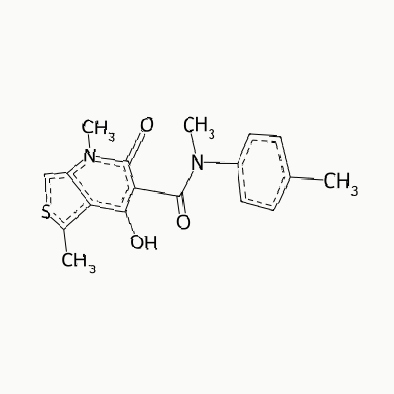 Cc1ccc(N(C)C(=O)c2c(O)c3c(C)scc3n(C)c2=O)cc1